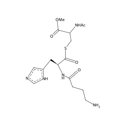 COC(=O)C(CSC(=O)[C@H](Cc1cnc[nH]1)NC(=O)CCCN)NC(C)=O